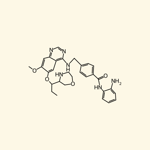 CCC(Oc1cc2c(NCc3ccc(C(=O)Nc4ccccc4N)cc3)ncnc2cc1OC)C1COCCN1